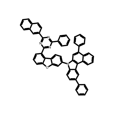 c1ccc(-c2ccc3c(c2)c2c4ccccc4c(-c4ccccc4)cc2n3-c2ccc3c(c2)oc2cccc(-c4nc(-c5ccccc5)nc(-c5ccc6ccccc6c5)n4)c23)cc1